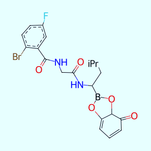 CC(C)CC(NC(=O)CNC(=O)c1cc(F)ccc1Br)B1OC2=CC=CC(=O)C2O1